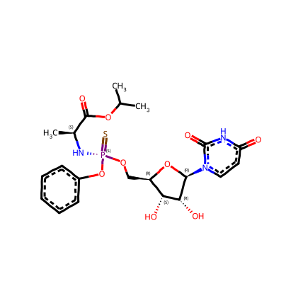 CC(C)OC(=O)[C@H](C)N[P@](=S)(OC[C@H]1O[C@@H](n2ccc(=O)[nH]c2=O)[C@H](O)[C@@H]1O)Oc1ccccc1